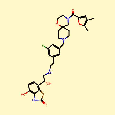 Cc1cc(C(=O)N2CCOC3(CCN(Cc4cc(F)cc(CCNC[C@H](O)c5ccc(O)c6[nH]c(=O)sc56)c4)CC3)C2)oc1C